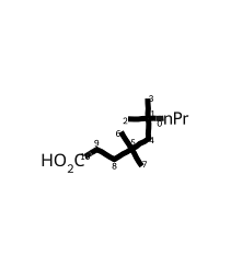 CCCC(C)(C)CC(C)(C)CCC(=O)O